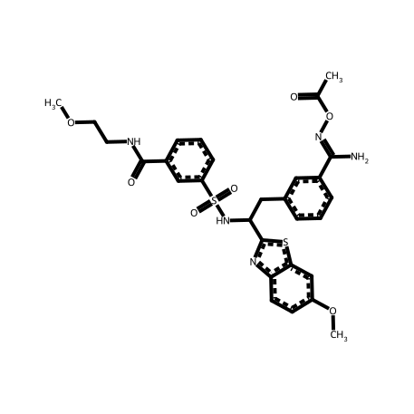 COCCNC(=O)c1cccc(S(=O)(=O)NC(Cc2cccc(C(N)=NOC(C)=O)c2)c2nc3ccc(OC)cc3s2)c1